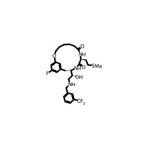 CSCC[C@@H]1NC(=O)CCCCCOc2cc(F)cc(c2)C[C@@H]([C@H](O)CNCc2cccc(C(F)(F)F)c2)NC1=O